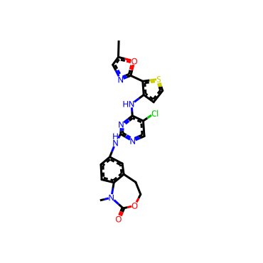 Cc1cnc(-c2sccc2Nc2nc(Nc3ccc4c(c3)CCOC(=O)N4C)ncc2Cl)o1